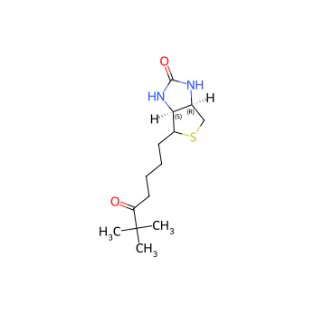 CC(C)(C)C(=O)CCCCC1SC[C@@H]2NC(=O)N[C@H]12